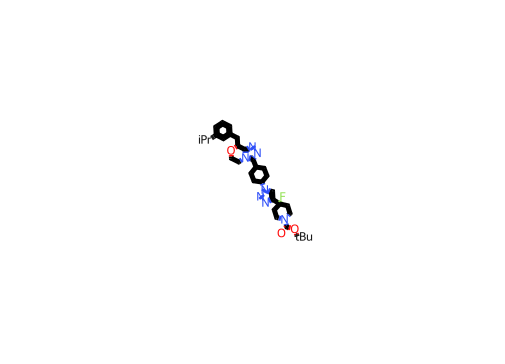 CC(C)c1cccc(CC2OCCn3c(C4CCC(n5cc(C6(F)CCN(C(=O)OC(C)(C)C)CC6)nn5)CC4)nnc32)c1